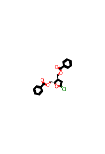 O=C(OC[C@H]1CC(Cl)O[C@@H]1COC(=O)c1ccccc1)c1ccccc1